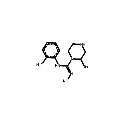 Cc1ccccc1N/C(=N\C#N)N1CCNCC1C(C)C